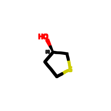 O[C@@H]1CCSC1